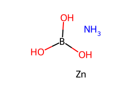 N.OB(O)O.[Zn]